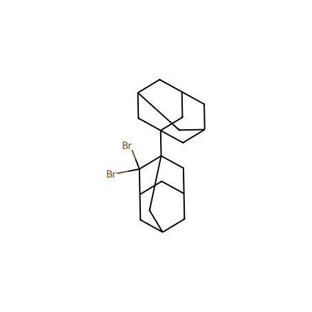 BrC1(Br)C2CC3CC(C2)CC1(C12CC4CC(CC(C4)C1)C2)C3